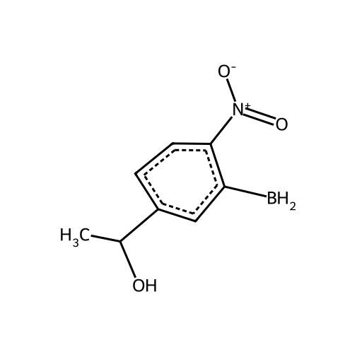 Bc1cc(C(C)O)ccc1[N+](=O)[O-]